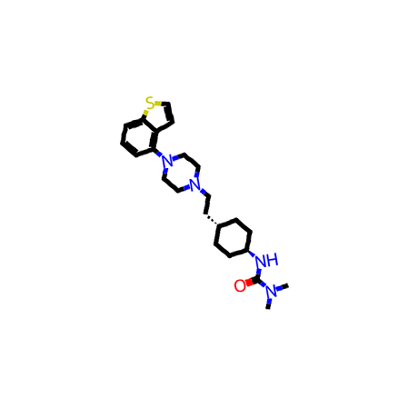 CN(C)C(=O)N[C@H]1CC[C@H](CCN2CCN(c3cccc4sccc34)CC2)CC1